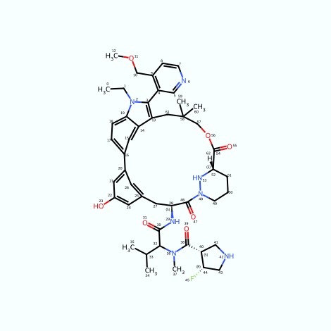 CCn1c(-c2cnccc2COC)c2c3cc(ccc31)-c1cc(O)cc(c1)C[C@H](NC(=O)C(C(C)C)N(C)C(=O)[C@@H]1CNC[C@@H]1F)C(=O)N1CCC[C@H](N1)C(=O)OCC(C)(C)C2